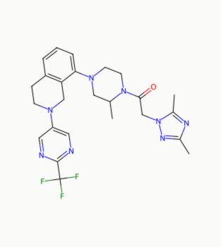 Cc1nc(C)n(CC(=O)N2CCN(c3cccc4c3CN(c3cnc(C(F)(F)F)nc3)CC4)CC2C)n1